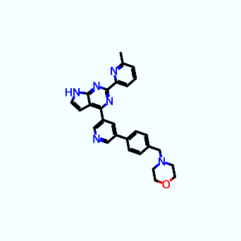 Cc1cccc(-c2nc(-c3cncc(-c4ccc(CN5CCOCC5)cc4)c3)c3cc[nH]c3n2)n1